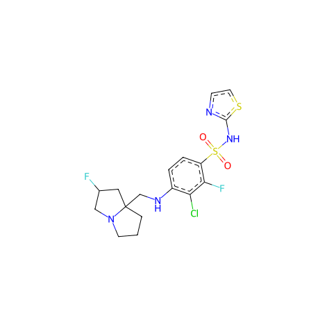 O=S(=O)(Nc1nccs1)c1ccc(NCC23CCCN2CC(F)C3)c(Cl)c1F